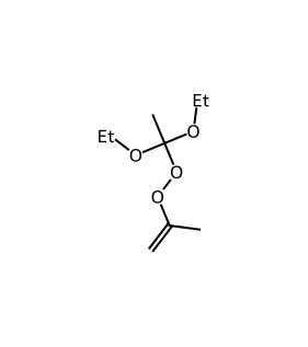 C=C(C)OOC(C)(OCC)OCC